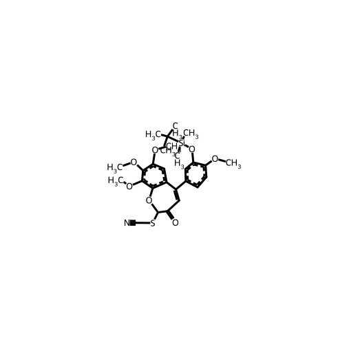 COc1ccc(C2=CC(=O)C(SC#N)Oc3c2cc(OC)c(OC)c3OC)cc1O[Si](C)(C)C(C)(C)C